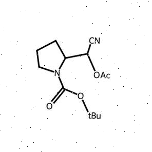 CC(=O)OC(C#N)C1CCCN1C(=O)OC(C)(C)C